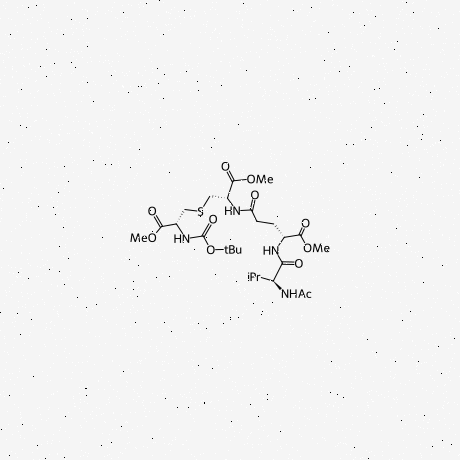 COC(=O)[C@H](CSC[C@@H](NC(=O)CC[C@@H](NC(=O)[C@@H](NC(C)=O)C(C)C)C(=O)OC)C(=O)OC)NC(=O)OC(C)(C)C